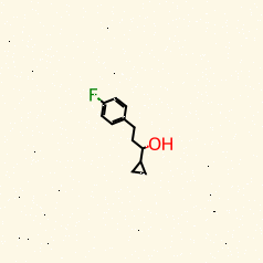 OC(CCc1ccc(F)cc1)C1CC1